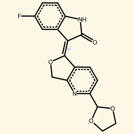 O=C1Nc2ccc(F)cc2/C1=C1\OCc2nc(C3OCCO3)ccc21